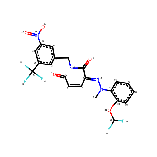 CN(/N=C(\C=C/C=O)C(=O)NCc1cc([N+](=O)[O-])cc(C(F)(F)F)c1)c1ccccc1OC(F)F